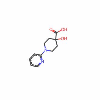 O=C(O)C1(O)CCN(c2ccccn2)CC1